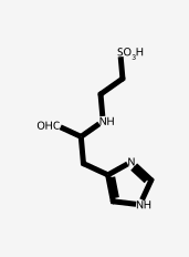 O=CC(Cc1c[nH]cn1)NCCS(=O)(=O)O